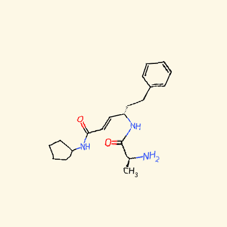 C[C@H](N)C(=O)N[C@H](C=CC(=O)NC1CCCC1)CCc1ccccc1